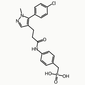 Cn1ncc(CCC(=O)Nc2ccc(CP(=O)(O)O)cc2)c1-c1ccc(Cl)cc1